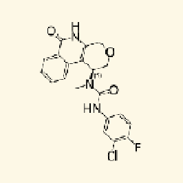 CN(C(=O)Nc1ccc(F)c(Cl)c1)[C@@H]1COCc2[nH]c(=O)c3ccccc3c21